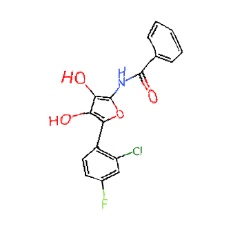 O=C(Nc1oc(-c2ccc(F)cc2Cl)c(O)c1O)c1ccccc1